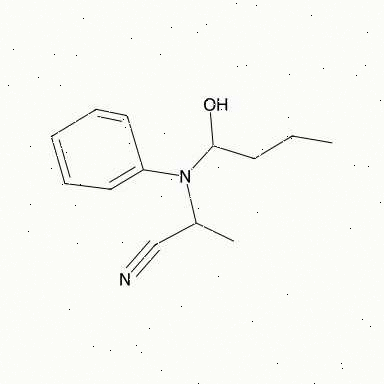 CCCC(O)N(c1ccccc1)C(C)C#N